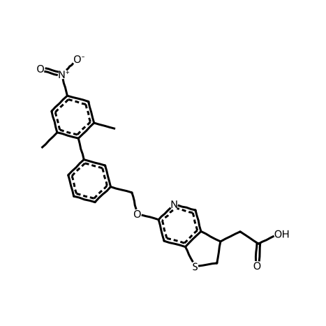 Cc1cc([N+](=O)[O-])cc(C)c1-c1cccc(COc2cc3c(cn2)C(CC(=O)O)CS3)c1